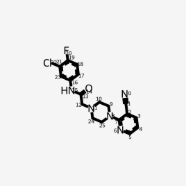 N#Cc1cccnc1N1CCN(CC(=O)Nc2ccc(F)c(Cl)c2)CC1